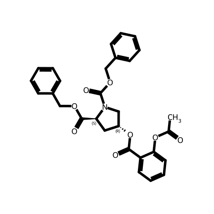 CC(=O)Oc1ccccc1C(=O)O[C@@H]1C[C@@H](C(=O)OCc2ccccc2)N(C(=O)OCc2ccccc2)C1